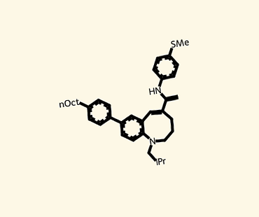 C=C(Nc1ccc(SC)cc1)/C1=C/c2cc(-c3ccc(CCCCCCCC)cc3)ccc2N(CC(C)C)CCC1